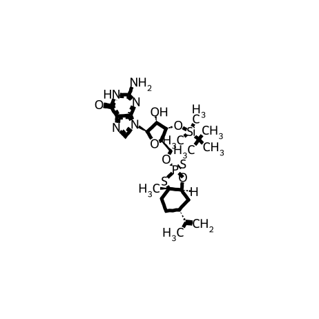 C=C(C)[C@@H]1CC[C@]2(C)S[P@@](=S)(OC[C@H]3O[C@@H](n4cnc5c(=O)[nH]c(N)nc54)[C@H](O)[C@@H]3O[Si](C)(C)C(C)(C)C)O[C@H]2C1